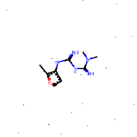 Cc1occc1NC(=N)NC(=N)N(C)C